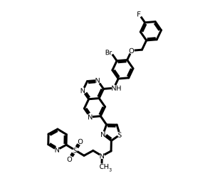 CN(CCS(=O)(=O)c1ccccn1)Cc1nc(-c2cc3c(Nc4ccc(OCc5cccc(F)c5)c(Br)c4)ncnc3cn2)cs1